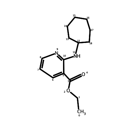 CCOC(=O)c1cccnc1NC1CCCCCC1